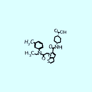 CCN(C(=O)Cn1c(C(=O)N[C@H]2CC[C@H](C(=O)O)CC2)cc2ccsc21)c1cccc(C)c1